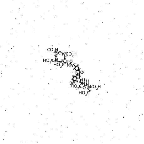 O=C(O)CC[C@@H](NC(=O)N[C@H](CCCCN(Cc1ccc(Br)nc1)C(=O)c1ccc(CNC(=O)CCC(C(=O)O)N2CCN(CC(=O)O)CCN(CC(=O)O)CCN(CC(=O)O)CC2)cc1)C(=O)O)C(=O)O